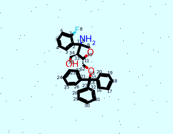 N[C@@]1(c2ccccc2F)CO[C@H](COC(c2ccccc2)(c2ccccc2)c2ccccc2)[C@H]1CO